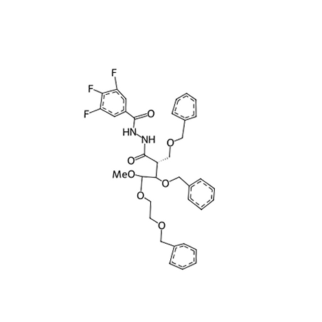 COC(OCCOCc1ccccc1)C(OCc1ccccc1)[C@@H](COCc1ccccc1)C(=O)NNC(=O)c1cc(F)c(F)c(F)c1